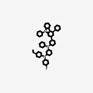 C=Cc1ccc(N(c2ccc(F)cc2)c2cccc(N(c3ccccc3)c3cccc(-c4cc(-c5ccccc5)c5c6ccccc6n(-c6ccccc6)c5c4)c3)c2)cc1